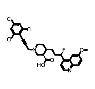 COc1ccc2nccc([C@H](F)CC[C@@H]3CCN(CC#Cc4c(Cl)cc(Cl)cc4Cl)C[C@@H]3C(=O)O)c2c1